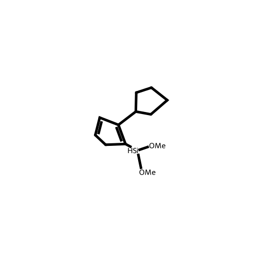 CO[SiH](OC)C1=C(C2CCCC2)C=CC1